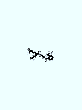 COC(=O)c1ccccc1C(=O)OCCOC(=O)C(CCCC(=O)Cl)CCC(=O)Cl